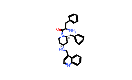 NC(Cc1ccccc1)C(=O)N1CC[C@H](NCc2ccnc3ccccc23)C[C@H]1Cc1ccccc1